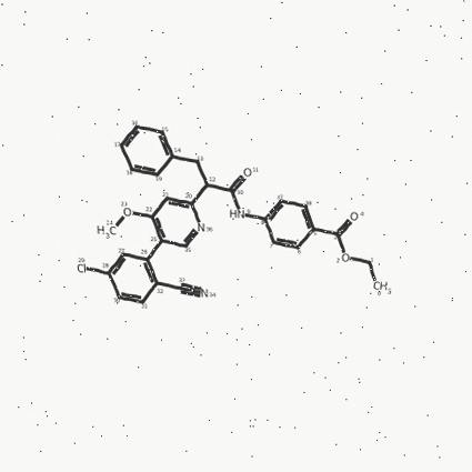 CCOC(=O)c1ccc(NC(=O)C(Cc2ccccc2)c2cc(OC)c(-c3cc(Cl)ccc3C#N)cn2)cc1